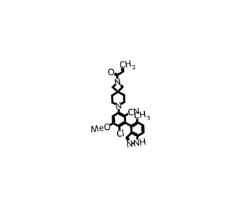 C=CC(=O)N1CC2(CCN(c3cc(OC)c(Cl)c(-c4c(C)ccc5[nH]ncc45)c3C#N)CC2)C1